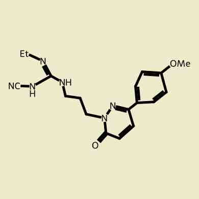 CC/N=C(\NC#N)NCCCn1nc(-c2ccc(OC)cc2)ccc1=O